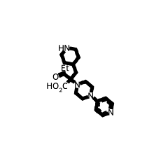 CCC(=O)C(CC1CCNCC1)(C(=O)O)N1CCN(c2ccncc2)CC1